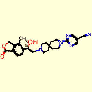 Cc1c([C@@H](O)CN2CCC3(CC2)CCN(c2ncc(C#N)cn2)CC3)ccc2c1COC2=O